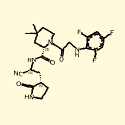 CC1(C)CCN(C(=O)CNc2c(F)cc(F)cc2F)[C@H](C(=O)N[C@H](C#N)C[C@@H]2CCNC2=O)C1